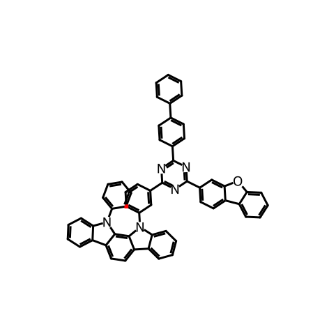 c1ccc(-c2ccc(-c3nc(-c4cccc(-n5c6ccccc6c6ccc7c8ccccc8n(-c8ccccc8)c7c65)c4)nc(-c4ccc5c(c4)oc4ccccc45)n3)cc2)cc1